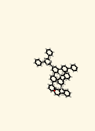 c1ccc(-c2ccc(-c3cc(-c4nc(-c5ccccc5)nc(-c5ccccc5)n4)cc(-c4ccc(-c5ccccc5)cc4)c3-n3c4ccccc4c4cc(-n5c6ccccc6c6ccccc65)ccc43)cc2)cc1